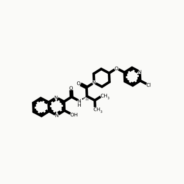 CC(C)[C@H](NC(=O)c1nc2ccccc2nc1O)C(=O)N1CCC(Oc2ccc(Cl)nc2)CC1